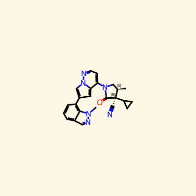 C[C@@H]1CN(c2ccnn3cc(-c4cccc5cnn(C)c45)cc23)C(=O)[C@]1(C#N)C1CC1